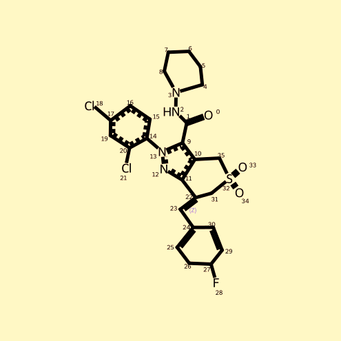 O=C(NN1CCCCC1)c1c2c(nn1-c1ccc(Cl)cc1Cl)/C(=C/C1=CCC(F)C=C1)CS(=O)(=O)C2